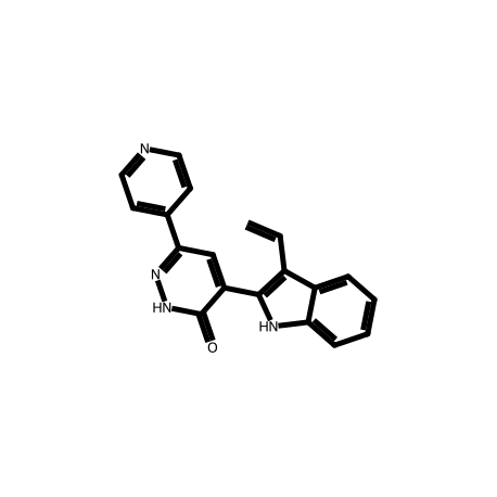 C=Cc1c(-c2cc(-c3ccncc3)n[nH]c2=O)[nH]c2ccccc12